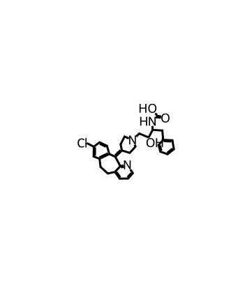 O=C(O)NC(Cc1ccccc1)C(O)CN1CCC(=C2c3ccc(Cl)cc3CCc3cccnc32)CC1